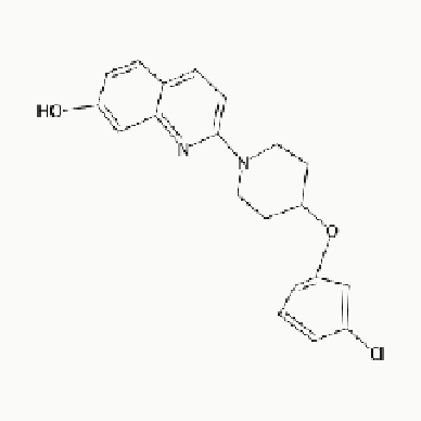 Oc1ccc2ccc(N3CCC(Oc4cccc(Cl)c4)CC3)nc2c1